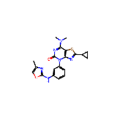 Cc1coc(Nc2cccc(-n3c(=O)nc(N(C)C)c4sc(C5CC5)nc43)c2)n1